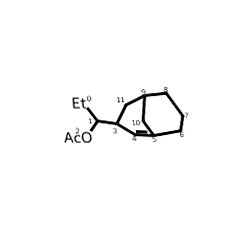 CCC(OC(C)=O)C1C=C2CCCC(C2)C1